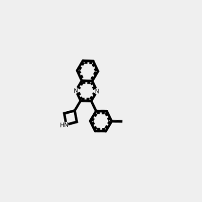 Cc1cccc(-c2nc3ccccc3nc2C2CNC2)c1